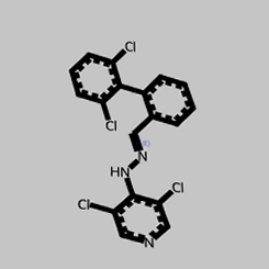 Clc1cncc(Cl)c1N/N=C/c1ccccc1-c1c(Cl)cccc1Cl